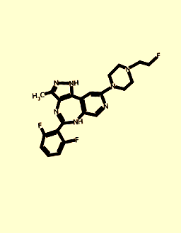 Cc1n[nH]c2c1N=C(c1c(F)cccc1F)Nc1cnc(N3CCN(CCF)CC3)cc1-2